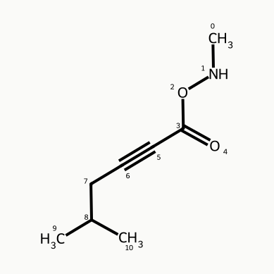 CNOC(=O)C#CCC(C)C